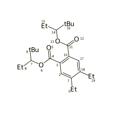 CCc1cc(C(=O)OC(CC)C(C)(C)C)c(C(=O)OC(CC)C(C)(C)C)cc1CC